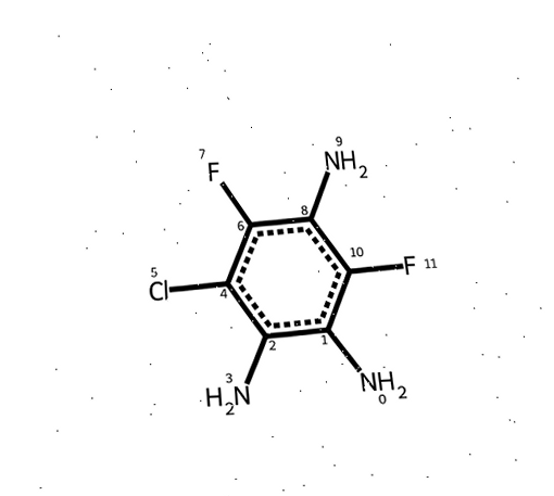 Nc1c(N)c(Cl)c(F)c(N)c1F